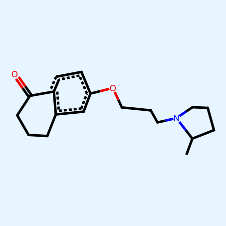 CC1CCCN1CCCOc1ccc2c(c1)CCCC2=O